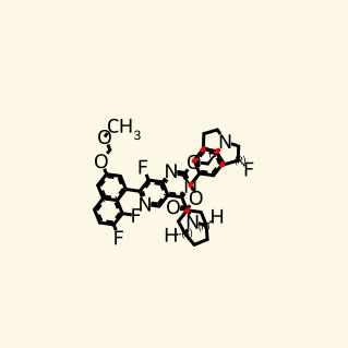 COCOc1cc(-c2ncc3c(C4C[C@H]5CC[C@@H](C4)N5C(=O)OCc4ccccc4)nc(OC[C@@]45CCCN4C[C@H](F)C5)nc3c2F)c2c(F)c(F)ccc2c1